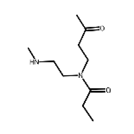 CCC(=O)N(CCNC)CCC(C)=O